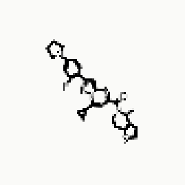 CC1c2ccsc2CCN1C(=O)c1cc(C2CC2)n2nc(-c3ccc(N4CCCC4)cc3F)cc2n1